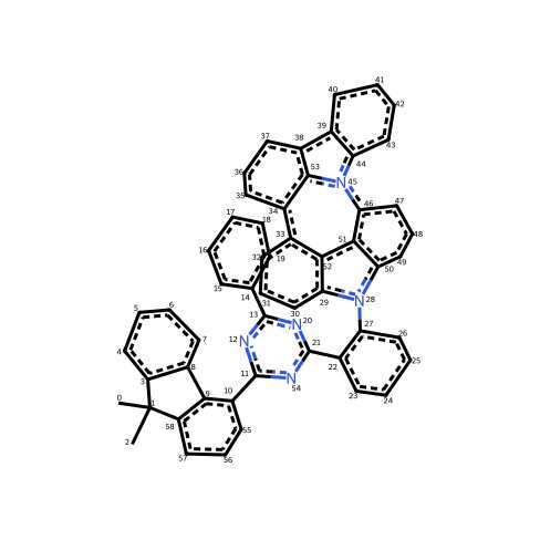 CC1(C)c2ccccc2-c2c(-c3nc(-c4ccccc4)nc(-c4ccccc4-n4c5cccc6c7cccc8c9ccccc9n(c9cccc4c9c65)c78)n3)cccc21